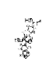 C#CC(O)c1ccc(C(=O)N(C)N(C(=O)c2ccc3c(c2)OOC3)C(C)(C)C)cc1